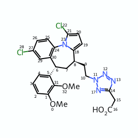 COc1cccc([C@H]2C[C@H](CCn3nnc(CC(=O)O)n3)c3ccc(Cl)n3-c3ccc(Cl)cc32)c1OC